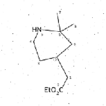 CCOC(=O)CC1CCNC(C)(C)C1